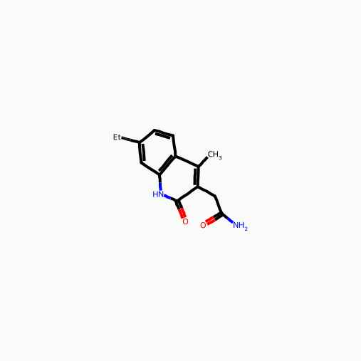 CCc1ccc2c(C)c(CC(N)=O)c(=O)[nH]c2c1